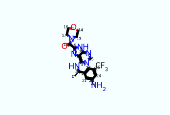 C[C@@H](Nc1ncnc2[nH]c(C(=O)N3CCOCC3)nc12)c1cc(N)cc(C(F)(F)F)c1